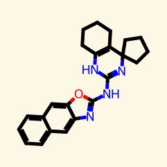 c1ccc2cc3oc(NC4=NC5(CCCC5)C5=C(CCCC5)N4)nc3cc2c1